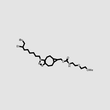 CCC(C)CC(CC)CCCCCCn1nnc2c1CCC1C(CC2)C1COC(=O)NCCOCCOC